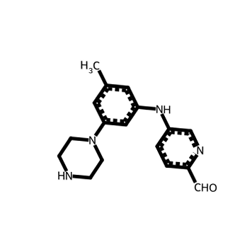 Cc1cc(Nc2ccc(C=O)nc2)cc(N2CCNCC2)c1